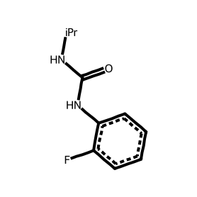 CC(C)NC(=O)Nc1ccccc1F